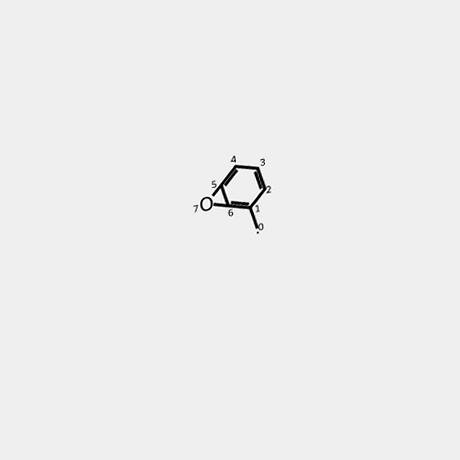 [CH2]c1cccc2c1O2